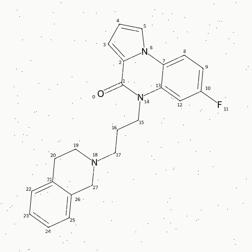 O=c1c2cccn2c2ccc(F)cc2n1CCCN1CCc2ccccc2C1